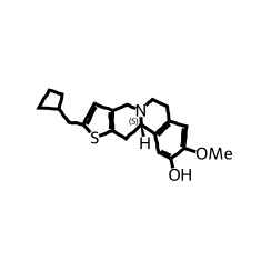 COc1cc2c(cc1O)[C@@H]1Cc3sc(CC4CCC4)cc3CN1CC2